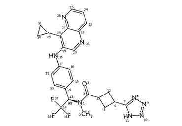 CN(C(=O)C1CC(c2nnn[nH]2)C1)[C@H](c1ccc(Nc2cnc3cccnc3c2C2CC2)cc1)C(F)(F)F